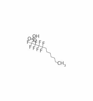 CCCCCCCC(F)(F)C(F)(F)C(F)(F)C(F)(F)S(=O)(=O)O